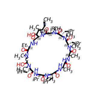 C/C=C/C[C@@H](C)[C@@H](O)[C@H]1C(=O)N[C@@H](CC)C(=O)N(C)CC(O)N(C)[C@@H](CC(C)C)C(=O)N[C@@H](C(C)C)C(=O)N(C)[C@@H](CC(C)C)C(=O)N[C@@H](C)C(=O)N[C@H](C)C(=O)N(C)[C@@H](CC(C)C)C(=O)N(C)[C@@H](CC(C)C)C(=O)N(C)[C@@H](C(C)C)C(=O)N1C